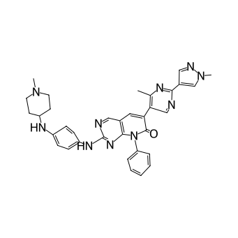 Cc1nc(-c2cnn(C)c2)ncc1-c1cc2cnc(Nc3ccc(NC4CCN(C)CC4)cc3)nc2n(-c2ccccc2)c1=O